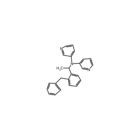 CC(c1ccccc1Cc1ccccc1)N(c1cccnc1)c1cccnc1